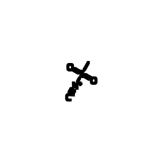 [C-]#[N+]S(C)(=O)=O